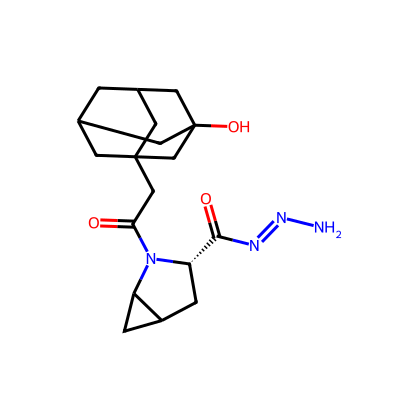 NN=NC(=O)[C@@H]1CC2CC2N1C(=O)CC12CC3CC(CC(O)(C3)C1)C2